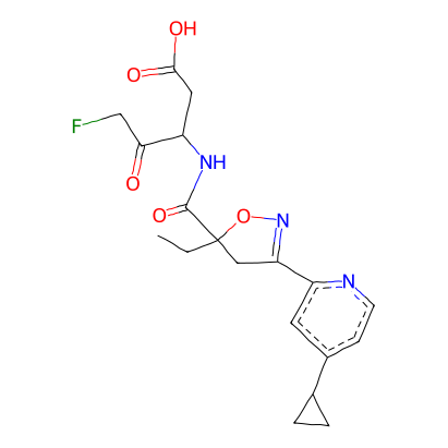 CCC1(C(=O)NC(CC(=O)O)C(=O)CF)CC(c2cc(C3CC3)ccn2)=NO1